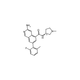 Cc1cccc(F)c1-c1cc(C(=O)N[C@H]2CCN(C)C2)c2cc(N)ncc2c1